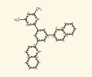 Cc1nc(C)nc(-c2cc(-c3ccc4ccccc4n3)cc(-c3ccc4ccccc4n3)c2)n1